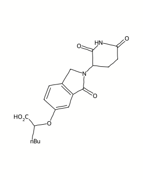 CCCCC(Oc1ccc2c(c1)C(=O)N(C1CCC(=O)NC1=O)C2)C(=O)O